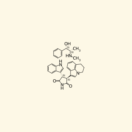 CN[C@@H](C)[C@@H](O)c1ccccc1.O=C1NC(=O)[C@H](c2cn3c4c(cccc24)CCC3)[C@H]1c1c[nH]c2ccccc12